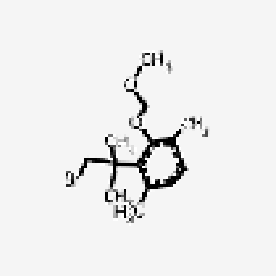 COCOc1c(C)ccc(C)c1C(C)(C)CBr